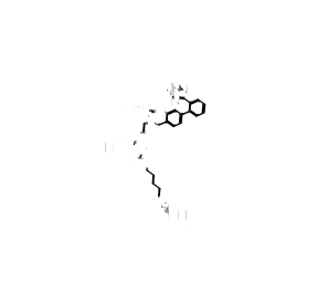 C=NOCCCCCOC(=O)OC(C)OC(=O)[C@H](C(C)C)N(Cc1ccc(-c2ccccc2-c2nnn[nH]2)cc1)C(=O)CCCC